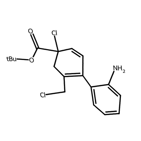 CC(C)(C)OC(=O)C1(Cl)C=CC(c2ccccc2N)=C(CCl)C1